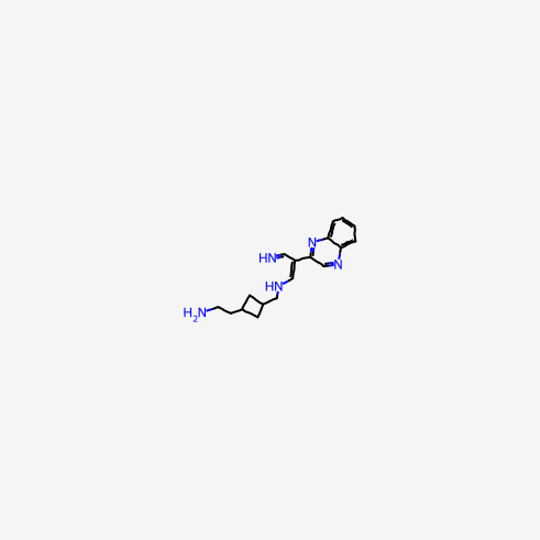 N=C/C(=C\NCC1CC(CCN)C1)c1cnc2ccccc2n1